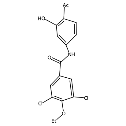 CCOc1c(Cl)cc(C(=O)Nc2ccc(C(C)=O)c(O)c2)cc1Cl